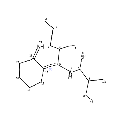 CCCC(C)/C(NC(S)C(C)CC)=C1/CCCCC1=N